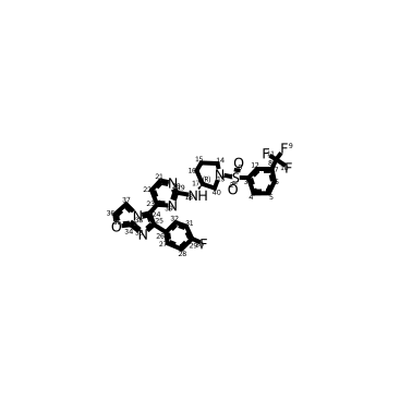 O=S(=O)(c1cccc(C(F)(F)F)c1)N1CCC[C@@H](Nc2nccc(-c3c(-c4ccc(F)cc4)nc4occn34)n2)C1